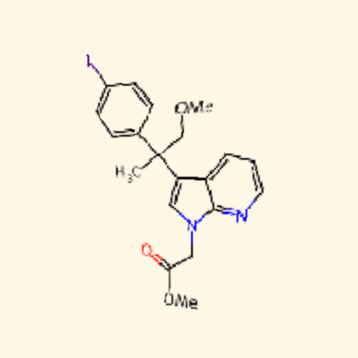 COCC(C)(c1ccc(I)cc1)c1cn(CC(=O)OC)c2ncccc12